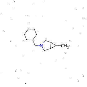 [CH2]C1C2CN(CC3CCCCC3)CC12